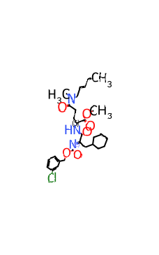 CCCCCN(C)C(=O)CC[C@H](NC(=O)/C(CC1CCCCC1)=N/C(=O)OCc1cccc(Cl)c1)C(=O)OC